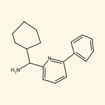 NC(c1cccc(-c2ccccc2)n1)C1CCCCC1